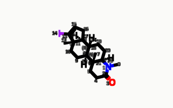 CN1C(=O)CC[C@]2(C)[C@H]3CC[C@]4(C)C(I)=CC[C@H]4[C@@H]3CC[C@@H]12